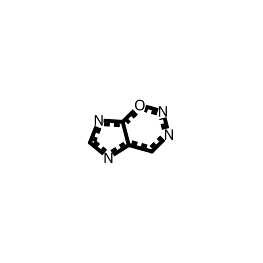 c1nc2cnnoc-2n1